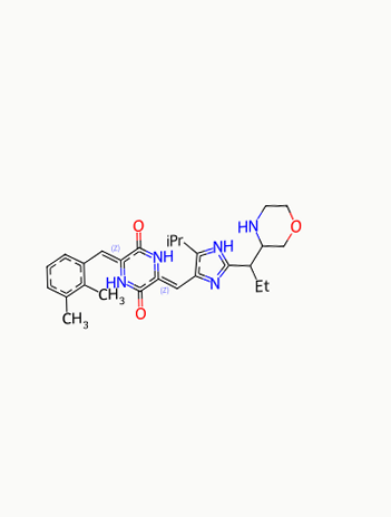 CCC(c1nc(/C=c2\[nH]c(=O)/c(=C/c3cccc(C)c3C)[nH]c2=O)c(C(C)C)[nH]1)C1COCCN1